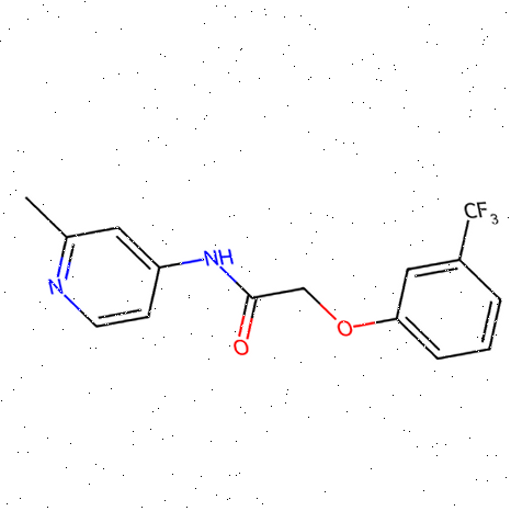 Cc1cc(NC(=O)COc2cccc(C(F)(F)F)c2)ccn1